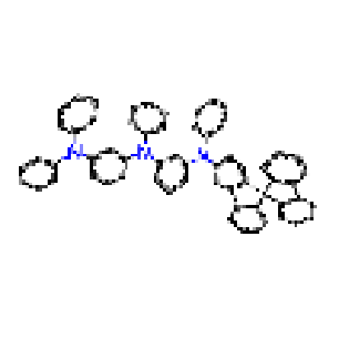 c1ccc(N(c2ccccc2)c2cccc(N(c3ccccc3)c3cccc(N(c4ccccc4)c4ccc5c(c4)-c4ccccc4C54c5ccccc5-c5ccccc54)c3)c2)cc1